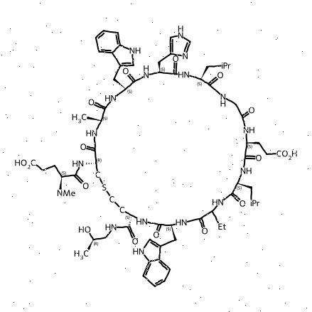 CCC1NC(=O)[C@H](CC(C)C)NC(=O)[C@H](CCC(=O)O)NC(=O)CNC(=O)[C@H](CC(C)C)NC(=O)[C@H](Cc2c[nH]cn2)NC(=O)[C@H](Cc2c[nH]c3ccccc23)NC(=O)[C@H](C)NC(=O)[C@@H](NC(=O)[C@H](CCC(=O)O)NC)CSCC[C@@H](C(=O)NC[C@@H](C)O)NC(=O)[C@H](Cc2c[nH]c3ccccc23)NC1=O